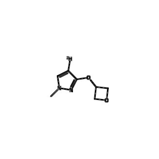 [2H]c1cn(C)nc1OC1COC1